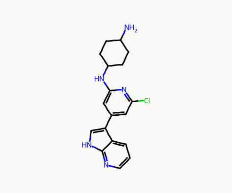 NC1CCC(Nc2cc(-c3c[nH]c4ncccc34)cc(Cl)n2)CC1